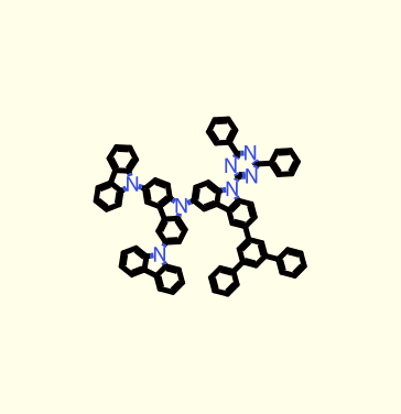 c1ccc(-c2cc(-c3ccccc3)cc(-c3ccc4c(c3)c3cc(-n5c6ccc(-n7c8ccccc8c8ccccc87)cc6c6cc(-n7c8ccccc8c8ccccc87)ccc65)ccc3n4-c3nc(-c4ccccc4)nc(-c4ccccc4)n3)c2)cc1